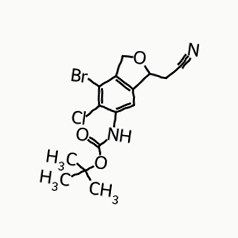 CC(C)(C)OC(=O)Nc1cc2c(c(Br)c1Cl)COC2CC#N